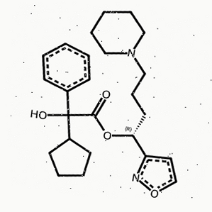 O=C(O[C@H](CCCN1CCCCC1)c1ccon1)C(O)(c1ccccc1)C1CCCC1